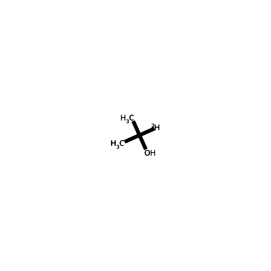 [2H]C(C)(C)O